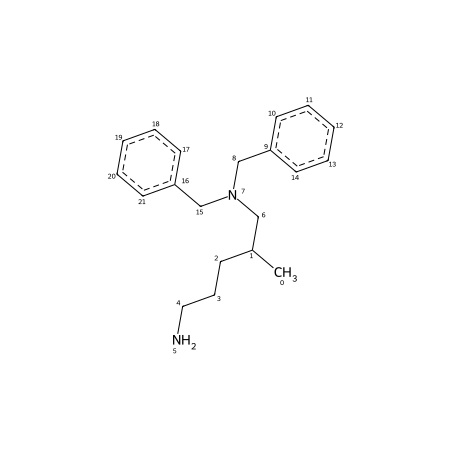 CC(CCCN)CN(Cc1ccccc1)Cc1ccccc1